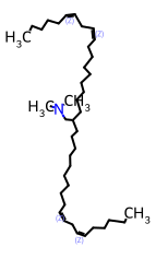 CCCCC/C=C\C/C=C\CCCCCCCCCC(CCCCCCCC/C=C\C/C=C\CCCCC)CN(C)C